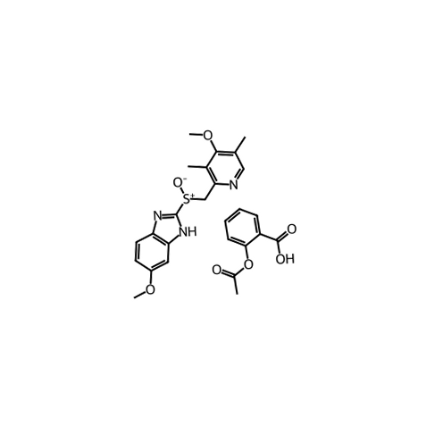 CC(=O)Oc1ccccc1C(=O)O.COc1ccc2nc([S+]([O-])Cc3ncc(C)c(OC)c3C)[nH]c2c1